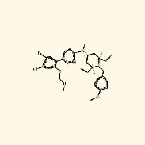 CC[C@@]1(C)C[C@H](N(C)c2ccc(-c3cc(F)c(Cl)cc3OCOC)nn2)C[C@@](C)(CC)N1Cc1ccc(OC)cc1